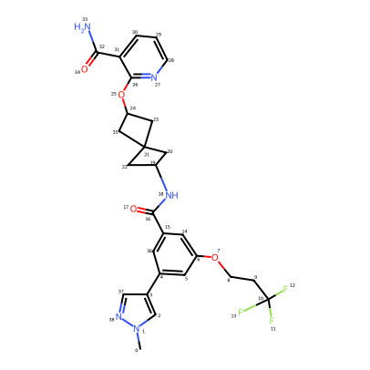 Cn1cc(-c2cc(OCCC(F)(F)F)cc(C(=O)NC3CC4(C3)CC(Oc3ncccc3C(N)=O)C4)c2)cn1